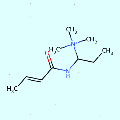 CC=CC(=O)NC(CC)[N+](C)(C)C